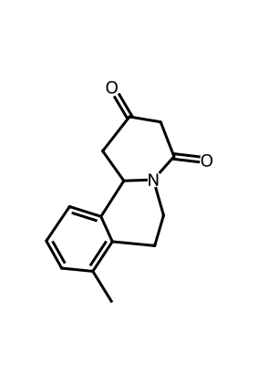 Cc1cccc2c1CCN1C(=O)CC(=O)CC21